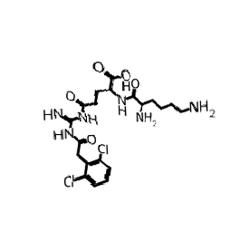 N=C(NC(=O)CC[C@H](NC(=O)[C@H](N)CCCCN)C(=O)O)NC(=O)Cc1c(Cl)cccc1Cl